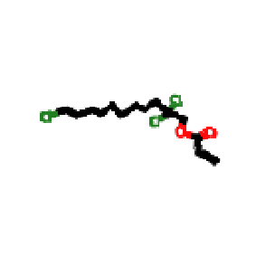 C=CC(=O)OCC(Cl)(Cl)CCCCCCCCCCl